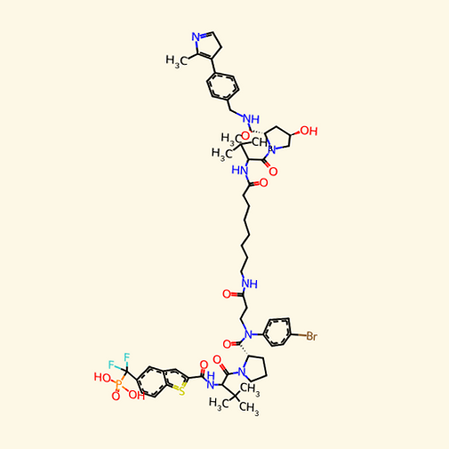 CC1=C(c2ccc(CNC(=O)[C@@H]3C[C@@H](O)CN3C(=O)C(NC(=O)CCCCCCCNC(=O)CCN(C(=O)[C@@H]3CCCN3C(=O)C(NC(=O)c3cc4cc(C(F)(F)P(=O)(O)O)ccc4s3)C(C)(C)C)c3ccc(Br)cc3)C(C)(C)C)cc2)CC=N1